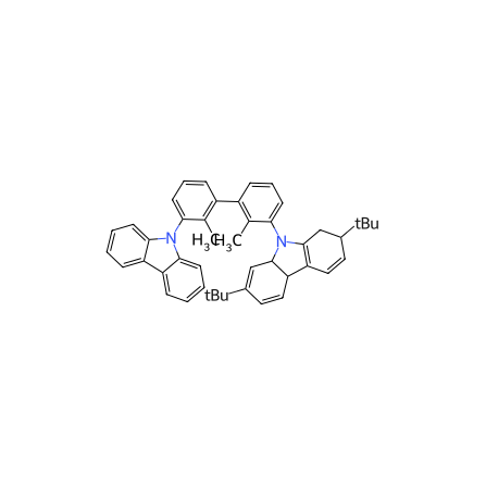 Cc1c(-c2cccc(-n3c4ccccc4c4ccccc43)c2C)cccc1N1C2=C(C=CC(C(C)(C)C)C2)C2C=CC(C(C)(C)C)=CC21